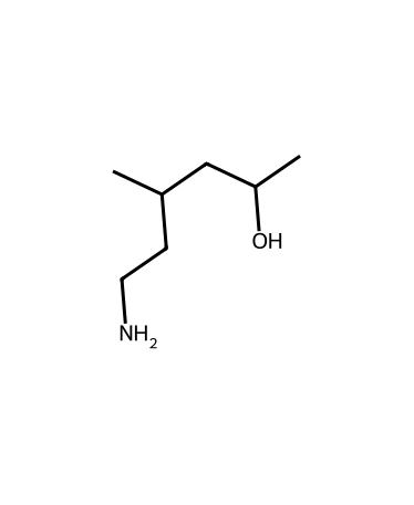 CC(O)CC(C)CCN